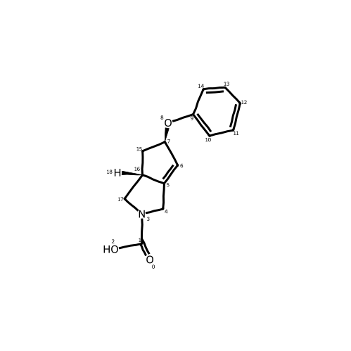 O=C(O)N1CC2=C[C@H](Oc3ccccc3)C[C@H]2C1